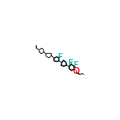 C=CC1CCC(C2CCC(c3ccc(-c4ccc(-c5ccc(O/C=C\CC)c(F)c5F)cc4)c(F)c3)CC2)CC1